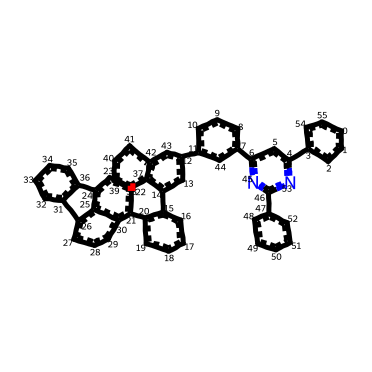 c1ccc(-c2cc(-c3cccc(-c4cc(-c5ccccc5-c5ccc6c7c(cccc57)-c5ccccc5-6)c5ccccc5c4)c3)nc(-c3ccccc3)n2)cc1